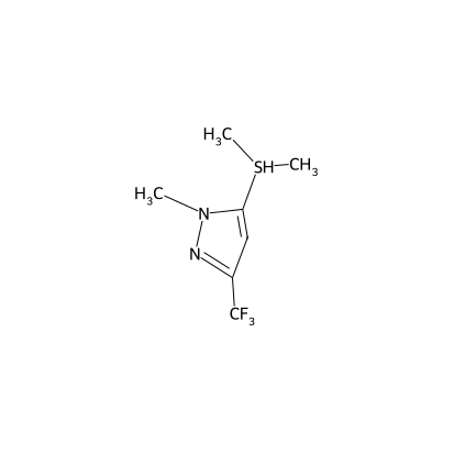 Cn1nc(C(F)(F)F)cc1[SH](C)C